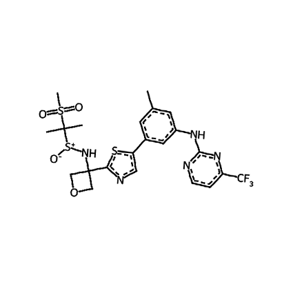 Cc1cc(Nc2nccc(C(F)(F)F)n2)cc(-c2cnc(C3(N[S+]([O-])C(C)(C)S(C)(=O)=O)COC3)s2)c1